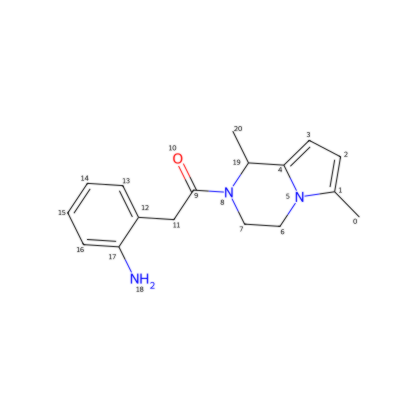 Cc1ccc2n1CCN(C(=O)Cc1ccccc1N)C2C